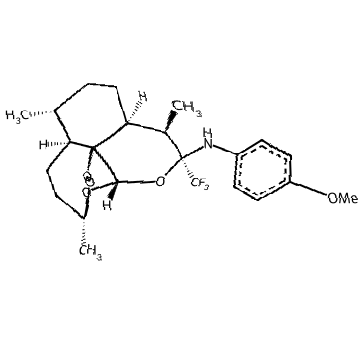 COc1ccc(N[C@@]2(C(F)(F)F)O[C@@H]3O[C@]4(C)CC[C@H]5[C@H](C)CC[C@@H]([C@H]2C)C35OO4)cc1